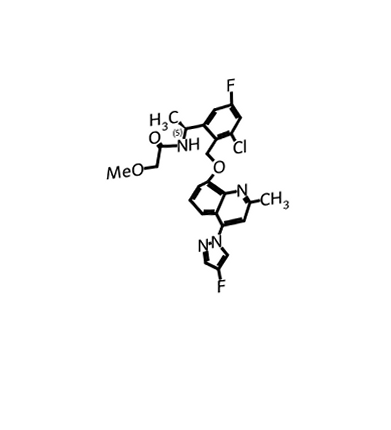 COCC(=O)N[C@@H](C)c1cc(F)cc(Cl)c1COc1cccc2c(-n3cc(F)cn3)cc(C)nc12